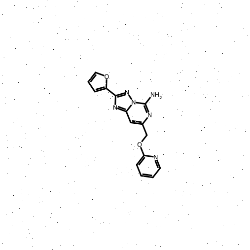 Nc1nc(COc2ccccn2)cc2nc(-c3ccco3)nn12